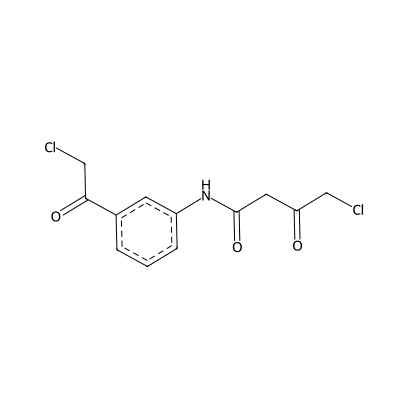 O=C(CCl)CC(=O)Nc1cccc(C(=O)CCl)c1